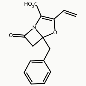 C=CC1=C(C(=O)O)N2C(=O)CC2(Cc2ccccc2)O1